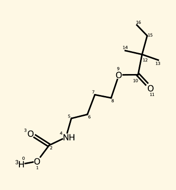 [3H]OC(=O)NCCCCOC(=O)C(C)(C)CC